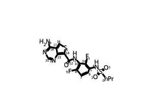 CCCS(=O)(=O)Nc1ccc(F)c(NC(=O)c2scc3c(N)ncnc23)c1F